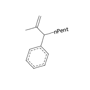 C=C(C)C(CCCCC)c1ccccc1